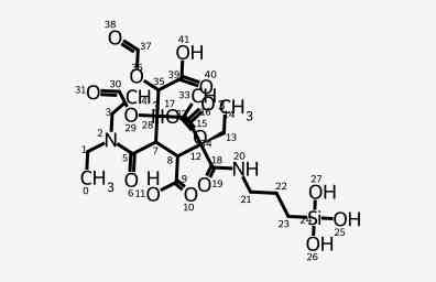 CCN(CC)C(=O)C(C(C(=O)O)[C@](CC)(C(=O)O)C(=O)NCCC[Si](O)(O)O)C(OC=O)(C(C)=O)C(OC=O)C(=O)O